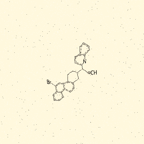 C#CC(c1ccc2ccccc2n1)C1CCc2c(ccc3c2cc(Br)c2ccccc23)C1